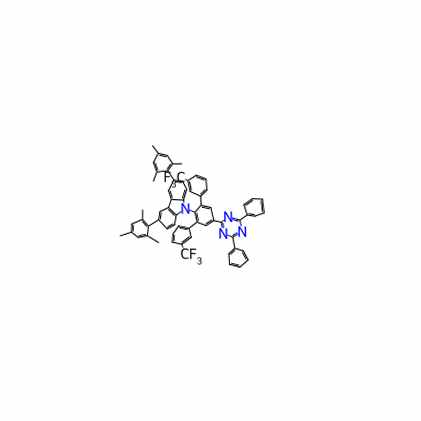 Cc1cc(C)c(-c2ccc3c(c2)c2cc(-c4c(C)cc(C)cc4C)ccc2n3-c2c(-c3cccc(C(F)(F)F)c3)cc(-c3nc(-c4ccccc4)nc(-c4ccccc4)n3)cc2-c2cccc(C(F)(F)F)c2)c(C)c1